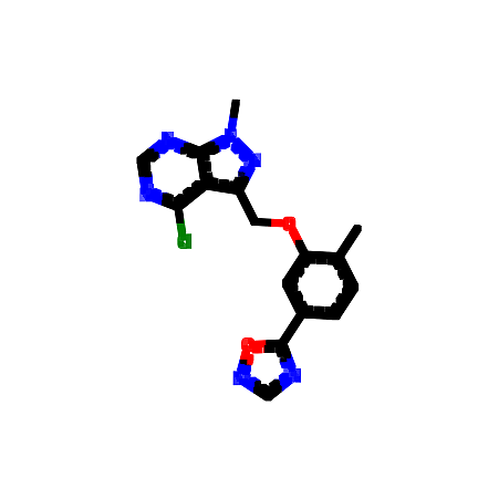 Cc1ccc(-c2ncno2)cc1OCc1nn(C)c2ncnc(Cl)c12